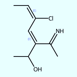 C/C=C(Cl)\C=C(/C(C)=N)C(C)O